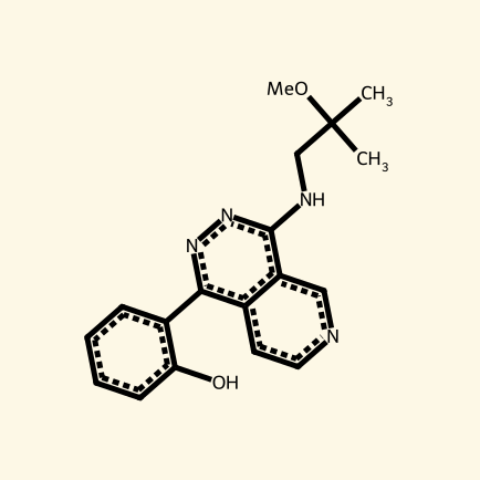 COC(C)(C)CNc1nnc(-c2ccccc2O)c2ccncc12